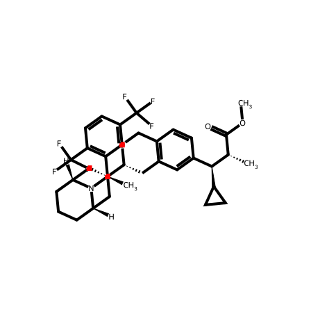 COC(=O)[C@H](C)[C@H](c1ccc2c(c1)C[C@H]([C@H]1C[C@H]3CCC[C@@H](C1)N3[C@H](C)c1cc(C(F)(F)F)ccc1C(F)(F)F)OC2)C1CC1